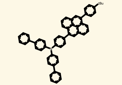 CC(C)(C)c1ccc(-c2cc3cccc4c(-c5ccc(N(c6ccc(-c7ccccc7)cc6)c6ccc(-c7ccccc7)cc6)cc5)cc5cccc2c5c34)cc1